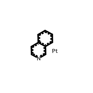 [Pt].c1ccc2cnccc2c1